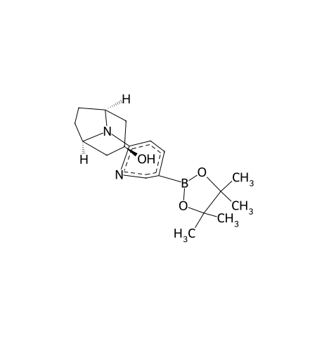 CC1(C)OB(c2ccc(N3[C@@H]4CC[C@H]3C[C@@H](O)C4)nc2)OC1(C)C